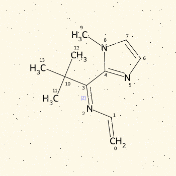 C=C/N=C(\c1nccn1C)C(C)(C)C